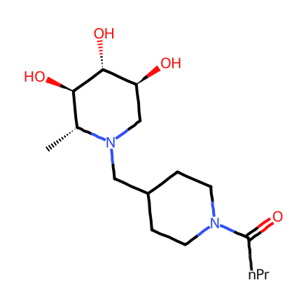 CCCC(=O)N1CCC(CN2C[C@H](O)[C@@H](O)[C@H](O)[C@H]2C)CC1